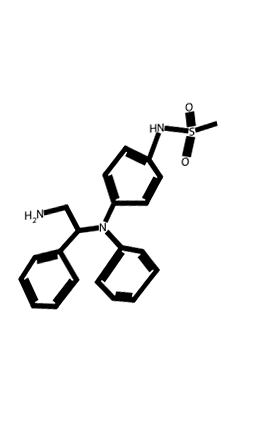 CS(=O)(=O)Nc1ccc(N(c2ccccc2)C(CN)c2ccccc2)cc1